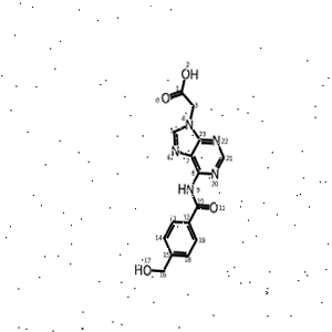 O=C(O)Cn1cnc2c(NC(=O)c3ccc(CO)cc3)ncnc21